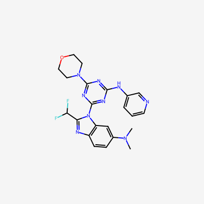 CN(C)c1ccc2nc(C(F)F)n(-c3nc(Nc4cccnc4)nc(N4CCOCC4)n3)c2c1